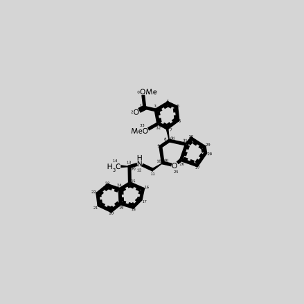 COC(=O)c1cccc([C@@H]2C[C@H](CN[C@H](C)c3cccc4ccccc34)Oc3ccccc32)c1OC